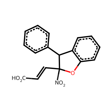 O=C(O)C=CC1([N+](=O)[O-])Oc2ccccc2C1c1ccccc1